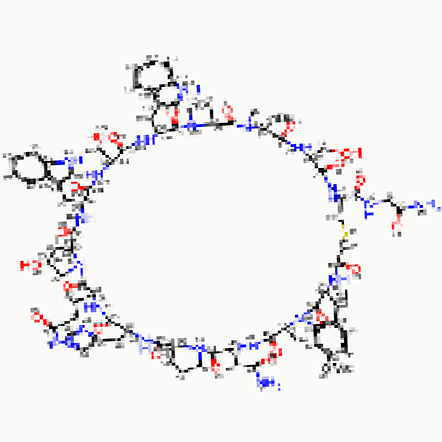 CCCC[C@H]1C(=O)N(C)[C@@H](CCCC)C(=O)N[C@@H](CO)C(=O)N[C@H](C(=O)NCC(N)=O)CSCC(=O)N[C@H]2Cc3ccc(OC)cc3N(C2=O)[C@@H](C)C(=O)N[C@@H](CC(N)=O)C(=O)N2CCC[C@H]2C(=O)N[C@@H](Cc2c[nH]cn2)C(=O)N[C@@H](CCC(N)=O)C(=O)N2C[C@H](O)C[C@H]2C(=O)N[C@@H](Cc2c[nH]c3ccccc23)C(=O)N[C@@H](CO)C(=O)N[C@@H](Cc2c[nH]c3ccccc23)C(=O)N1C